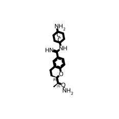 C[C@H](ON)[C@H]1CCc2cc(C(=N)NC34CCC(N)(CC3)CC4)ccc2O1